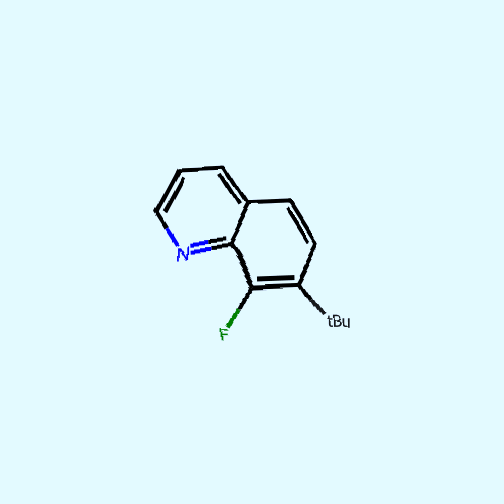 CC(C)(C)c1ccc2cccnc2c1F